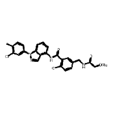 COCC(=O)NCc1ccc(Cl)c(C(=O)Nc2cccc3c2cnn3-c2ccc(C)c(Cl)c2)c1